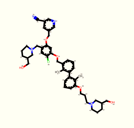 Cc1c(COc2cc(OCc3cncc(C#N)c3)c(CN3CCCC(CO)C3)cc2Cl)cccc1-c1cccc(OCCCN2CCCC(CO)C2)c1C